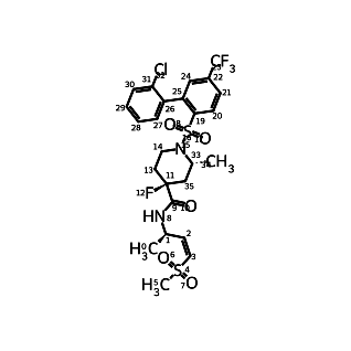 C[C@H](/C=C\S(C)(=O)=O)NC(=O)[C@]1(F)CCN(S(=O)(=O)c2ccc(C(F)(F)F)cc2-c2ccccc2Cl)[C@H](C)C1